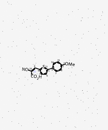 COc1ccc(-c2ccc(/C=C(/C#N)C(=O)O)s2)cc1